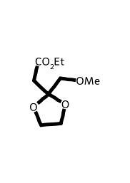 CCOC(=O)CC1(COC)OCCO1